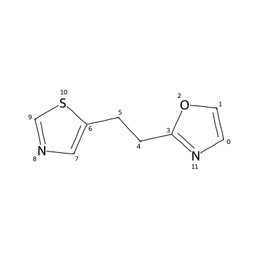 c1coc(CCc2cncs2)n1